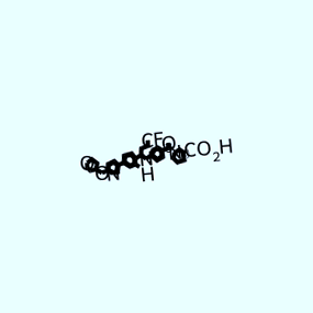 Cc1cc(-c2ccc(OC3CCOCC3)nc2)ccc1C(CCC(F)(F)F)Nc1ccc(C(=O)N2CCC[C@@H](C(=O)O)C2)cc1